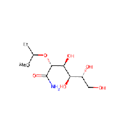 CCC(OC)O[C@@H](C(N)=O)[C@@H](O)[C@H](O)[C@H](O)CO